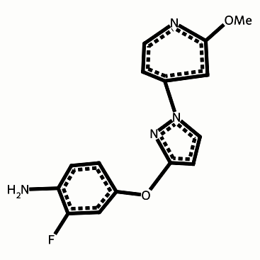 COc1cc(-n2ccc(Oc3ccc(N)c(F)c3)n2)ccn1